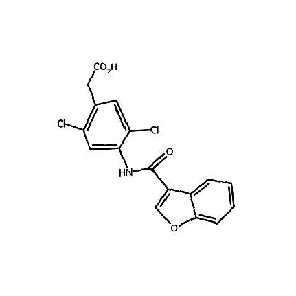 O=C(O)Cc1cc(Cl)c(NC(=O)c2coc3ccccc23)cc1Cl